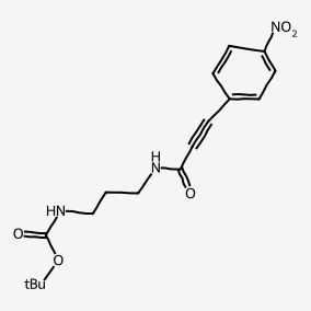 CC(C)(C)OC(=O)NCCCNC(=O)C#Cc1ccc([N+](=O)[O-])cc1